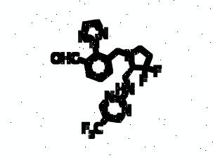 O=Cc1cccc(CN2CCC(F)(F)[C@H]2CNc2ncc(C(F)(F)F)cn2)c1-n1nccn1